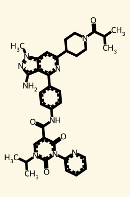 CC(C)C(=O)N1CCC(c2cc3c(c(N)nn3C)c(-c3ccc(NC(=O)c4cn(C(C)C)c(=O)n(-c5ccccn5)c4=O)cc3)n2)CC1